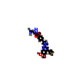 COc1cc2nc(-n3cc(-c4ccc(S(=O)(=O)NCCN(C)C)cc4)cn3)nc(-c3ccsc3)c2cc1OC